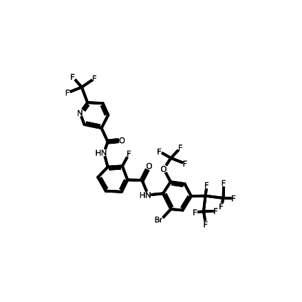 O=C(Nc1cccc(C(=O)Nc2c(Br)cc(C(F)(C(F)(F)F)C(F)(F)F)cc2OC(F)(F)F)c1F)c1ccc(C(F)(F)F)nc1